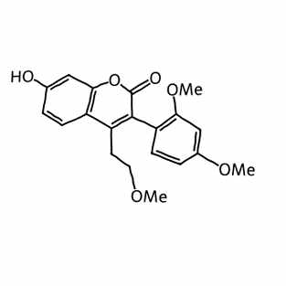 COCCc1c(-c2ccc(OC)cc2OC)c(=O)oc2cc(O)ccc12